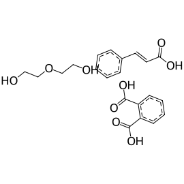 O=C(O)C=Cc1ccccc1.O=C(O)c1ccccc1C(=O)O.OCCOCCO